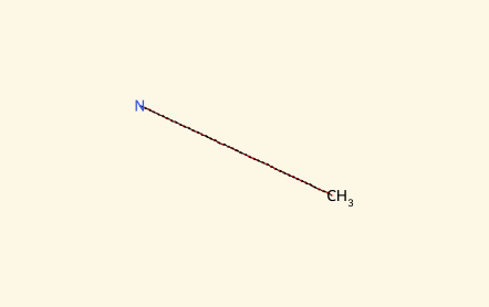 CC#CC#CC#CC#CC#CC#CC#CC#CC#CC#CC#CC#CC#CC#CC#CC#CC#CC#CC#CC#CC#CC#CC#CC#CC#CC#CC#CC#CC#CC#CC#CC#CC#CC#CC#CC#CC#CC#CC#CC#CC#CC#CC#CC#N